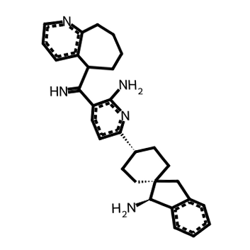 N=C(c1ccc([C@H]2CC[C@]3(CC2)Cc2ccccc2[C@H]3N)nc1N)C1CCCCc2ncccc21